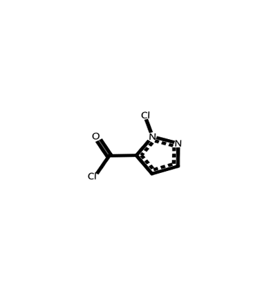 O=C(Cl)c1ccnn1Cl